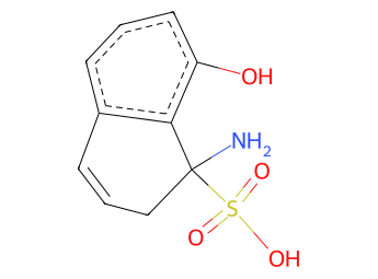 NC1(S(=O)(=O)O)CC=Cc2cccc(O)c21